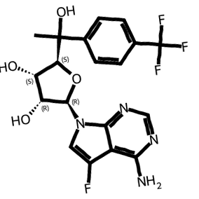 CC(O)(c1ccc(C(F)(F)F)cc1)[C@H]1O[C@@H](n2cc(F)c3c(N)ncnc32)[C@H](O)[C@@H]1O